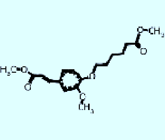 COC(=O)/C=C/c1ccc(OCCCCCC(=O)OC)c(OC)c1